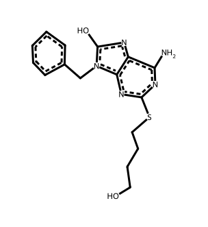 Nc1nc(SCCCCO)nc2c1nc(O)n2Cc1ccccc1